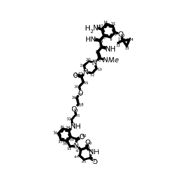 CN/C(=C\C(=N)C(=N)c1cc(OC2(C)CC2)ccc1N)N1CCN(C(=O)CCOCCOCCNc2cccc3c2C(=O)N(C2CCC(=O)NC2=O)C3)CC1